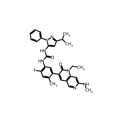 CCn1c(=O)c(-c2cc(NC(=O)Nc3cc(C(C)C)nn3-c3ccccc3)c(F)cc2C)cc2cnc(NC)cc21